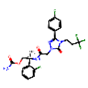 C[C@@](COC(N)=O)(NC(=O)Cn1nc(-c2ccc(Cl)cc2)n(CCC(F)(F)F)c1=O)c1ccccc1Cl